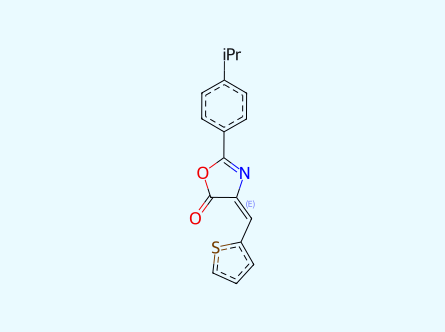 CC(C)c1ccc(C2=N/C(=C/c3cccs3)C(=O)O2)cc1